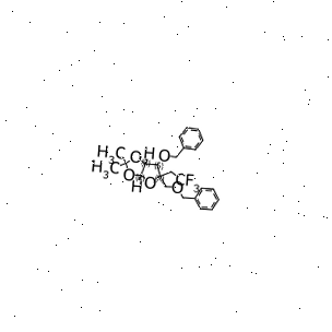 CC1(C)O[C@H]2O[C@@](COCc3ccccc3)(CC(F)(F)F)[C@@H](OCc3ccccc3)[C@H]2O1